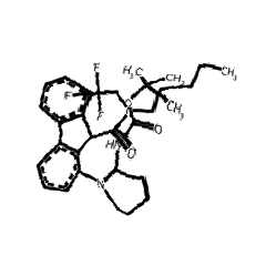 CCCCCN(CC(F)(F)F)C(=O)C1c2ccccc2-c2cccc(N3CCCCC3NC(=O)OC(C)(C)C)c21